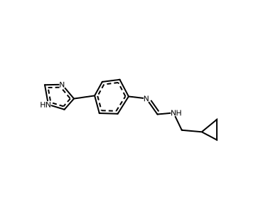 C(=Nc1ccc(-c2c[nH]cn2)cc1)NCC1CC1